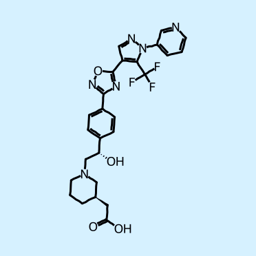 O=C(O)C[C@H]1CCCN(C[C@@H](O)c2ccc(-c3noc(-c4cnn(-c5cccnc5)c4C(F)(F)F)n3)cc2)C1